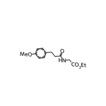 CCOC(=O)CNC(=O)CCc1ccc(OC)cc1